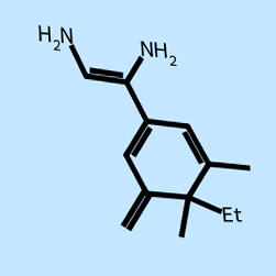 C=C1C=C(/C(N)=C/N)C=C(C)C1(C)CC